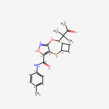 CC(=O)C(C)(C)COc1noc(C(=O)Nc2ccc(C)cc2)c1SC1CCC1